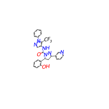 O=C(Nc1cnn(-c2ccccc2)c1C(F)(F)F)N1N=C(c2cccnc2)CC1c1ccccc1O